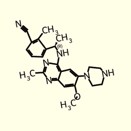 COc1cc2nc(C)nc(N[C@H](C)c3cccc(C#N)c3C)c2cc1N1CCNCC1